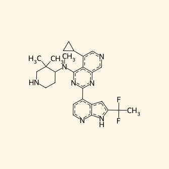 CN(c1nc(-c2ccnc3[nH]c(C(C)(F)F)cc23)nc2cncc(C3CC3)c12)C1CCNCC1(C)C